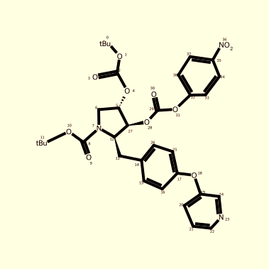 CC(C)(C)OC(=O)O[C@H]1CN(C(=O)OC(C)(C)C)[C@H](Cc2ccc(Oc3cccnc3)cc2)[C@@H]1OC(=O)Oc1ccc([N+](=O)[O-])cc1